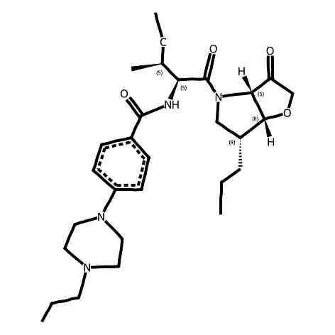 CCC[C@@H]1CN(C(=O)[C@@H](NC(=O)c2ccc(N3CCN(CCC)CC3)cc2)[C@@H](C)CC)[C@@H]2C(=O)CO[C@H]12